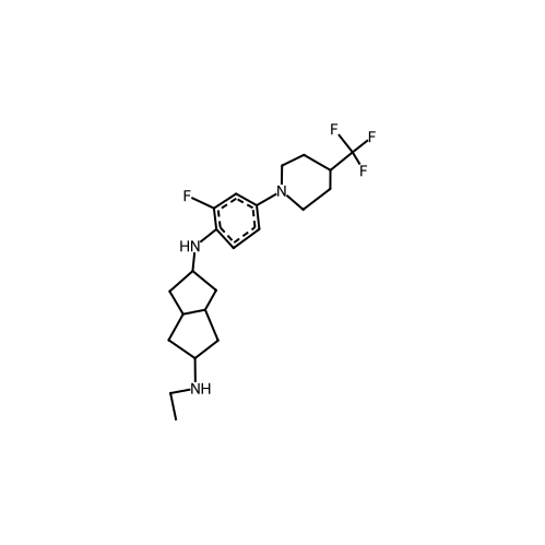 CCNC1CC2CC(Nc3ccc(N4CCC(C(F)(F)F)CC4)cc3F)CC2C1